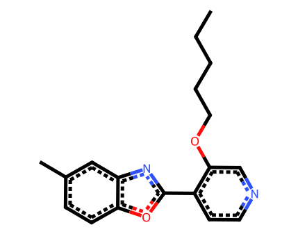 CCCCCOc1cnccc1-c1nc2cc(C)ccc2o1